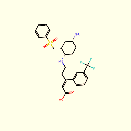 N[C@@H]1CC[C@H](NCCC(=CC(=O)O)c2cccc(C(F)(F)F)c2)[C@H](CS(=O)(=O)c2ccccc2)C1